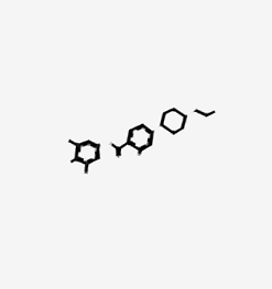 CCC[C@H]1CC[C@H](c2ccc(C(=O)Oc3cc(F)c(F)c(F)c3)c(F)c2)CC1